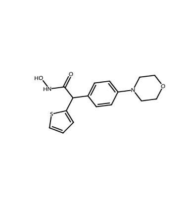 O=C(NO)C(c1ccc(N2CCOCC2)cc1)c1cccs1